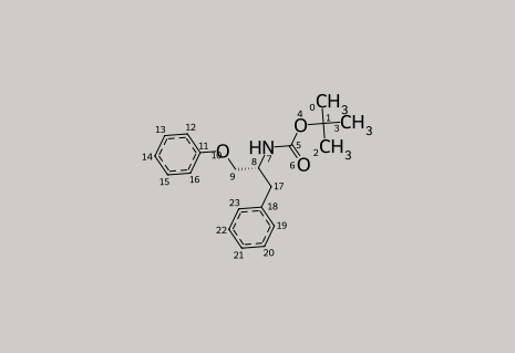 CC(C)(C)OC(=O)N[C@@H](COc1ccccc1)Cc1ccccc1